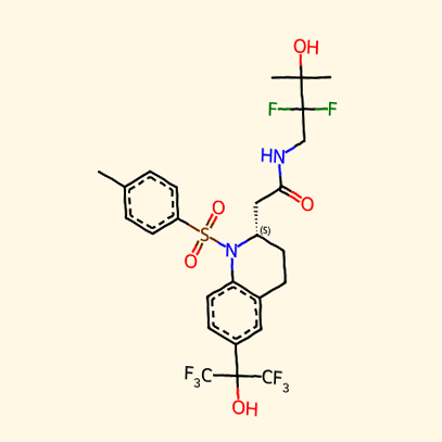 Cc1ccc(S(=O)(=O)N2c3ccc(C(O)(C(F)(F)F)C(F)(F)F)cc3CC[C@H]2CC(=O)NCC(F)(F)C(C)(C)O)cc1